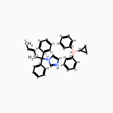 CC=C[SiH2]C(c1ccccc1)(c1ccccc1)n1ccnc1.c1ccc(B(c2ccccc2)C2CC2)cc1